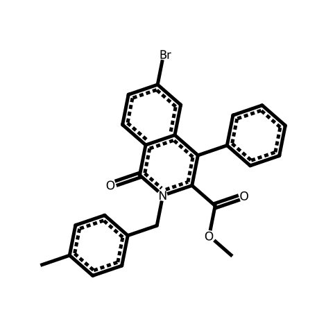 COC(=O)c1c(-c2ccccc2)c2cc(Br)ccc2c(=O)n1Cc1ccc(C)cc1